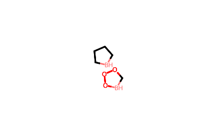 B1CCCC1.B1COOO1